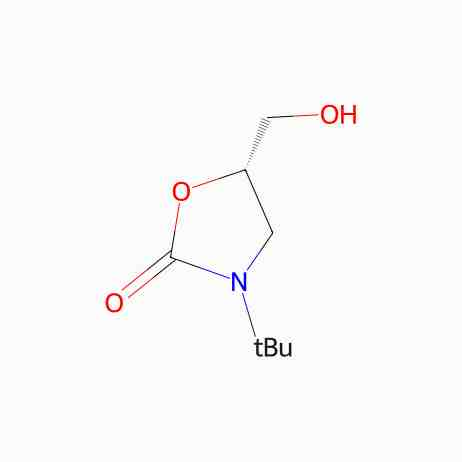 CC(C)(C)N1C[C@@H](CO)OC1=O